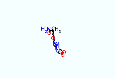 CC(=CCCOCCn1cc(CN2CCS(=O)(=O)CC2)nn1)C(N)=O